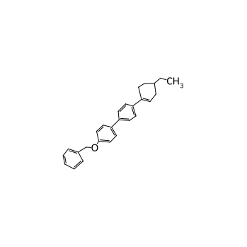 CCC1CC=C(c2ccc(-c3ccc(OCc4ccccc4)cc3)cc2)CC1